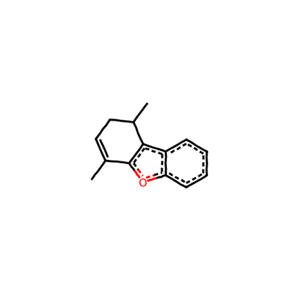 CC1=CCC(C)c2c1oc1ccccc21